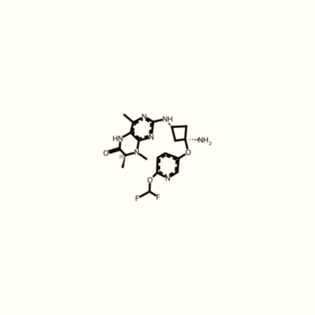 Cc1nc(N[C@H]2C[C@](N)(Oc3ccc(OC(F)F)nc3)C2)nc2c1NC(=O)[C@H](C)N2C